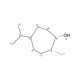 CC(C)C1CC[C@@H](C)[C@@H](O)CC1